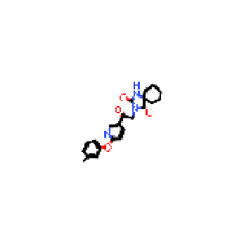 Cc1cccc(Oc2ccc(C(=O)CN3C(=O)NC4(CCCCC4)C3=O)cn2)c1